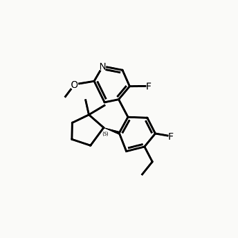 CCc1cc([C@H]2CCCC2(C)C)c(-c2cc(OC)ncc2F)cc1F